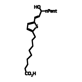 CCCCCC(O)C=Cc1ccc(CCCCCCCCC(=O)O)s1